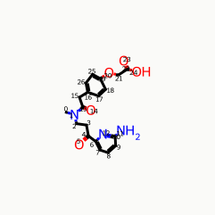 CN(CCC(=O)c1cccc(N)n1)C(=O)Cc1ccc(OCC(=O)O)cc1